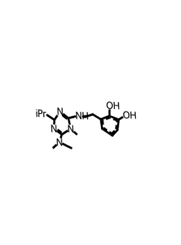 CC(C)C1N=C(NCCc2cccc(O)c2O)N(C)C(N(C)C)=N1